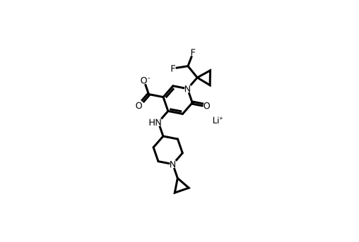 O=C([O-])c1cn(C2(C(F)F)CC2)c(=O)cc1NC1CCN(C2CC2)CC1.[Li+]